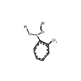 Cc1ccccc1P(OC(C)C)OC(C)C